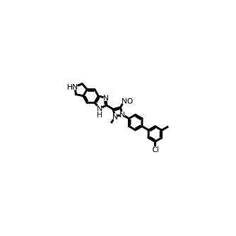 Cc1cc(Cl)cc(-c2ccc(-n3c(N=O)c(-c4nc5cc6c(cc5[nH]4)CNC6)n3C)cc2)c1